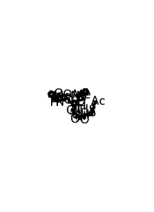 CNC[C@@H]1Cc2ccccc2N1C(C)OCc1cc(COc2cc3c(cc2OC)C(=O)N2c4ccccc4C[C@H]2C=N3)cc(NC(=O)[C@@H](C)NC(=O)[C@H](C)NC(=O)CCC(C)(C)SSCCCC(C)=O)c1